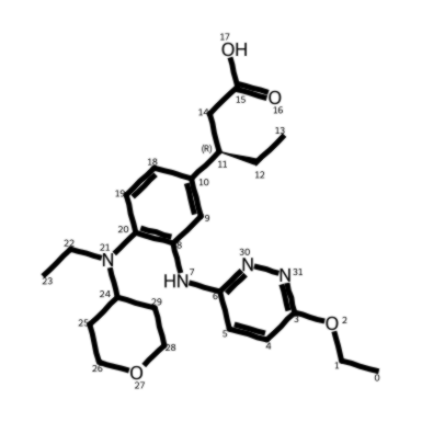 CCOc1ccc(Nc2cc([C@H](CC)CC(=O)O)ccc2N(CC)C2CCOCC2)nn1